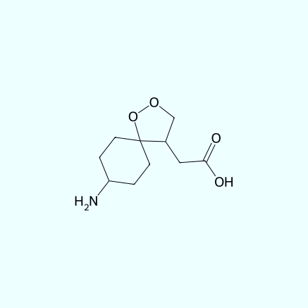 NC1CCC2(CC1)OOCC2CC(=O)O